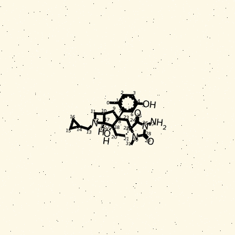 Cc1ccc(O)cc1[C@]12CC3CN(CC4CC4)[C@H]3[C@]1(O)CC[C@]1(C2)C(=O)N(N)C(=O)N1C